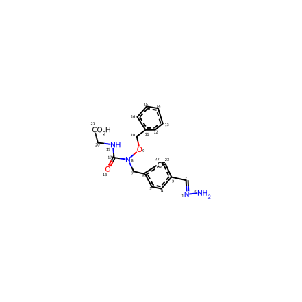 NN=Cc1ccc(CN(OCc2ccccc2)C(=O)NCC(=O)O)cc1